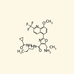 CC[C@H](CNC(=O)c1nc(-c2ccc(OC)c3nc(C(F)(F)F)ccc23)oc1[C@H](C)N)NC(=O)C1CC1